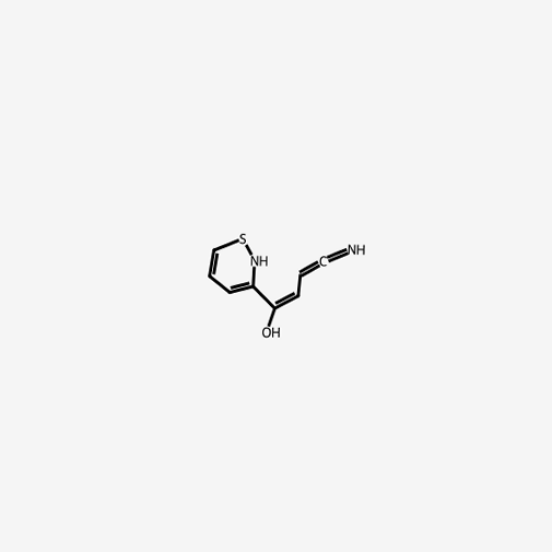 N=C=C/C=C(/O)C1=CC=CSN1